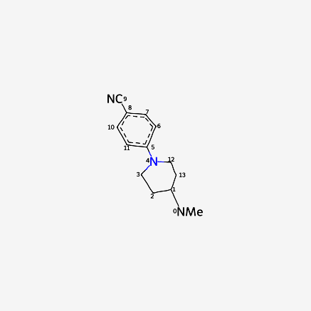 CNC1CCN(c2ccc(C#N)cc2)CC1